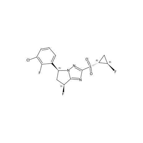 O=S(=O)(c1nc2n(n1)[C@H](c1cccc(Cl)c1F)C[C@@H]2F)[C@@H]1C[C@H]1F